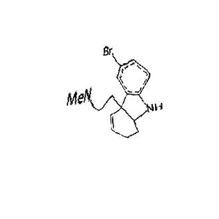 CNCCC12C=CCCC1Nc1ccc(Br)cc12